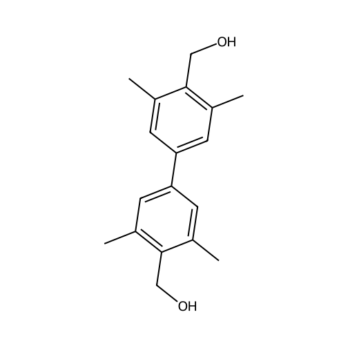 Cc1cc(-c2cc(C)c(CO)c(C)c2)cc(C)c1CO